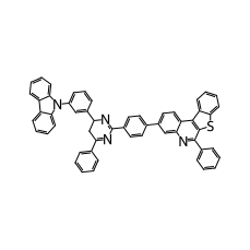 c1ccc(C2=NC(c3ccc(-c4ccc5c(c4)nc(-c4ccccc4)c4sc6ccccc6c45)cc3)=NC(c3cccc(-n4c5ccccc5c5ccccc54)c3)C2)cc1